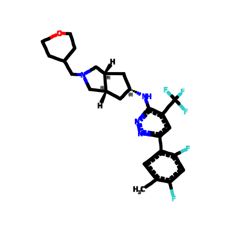 Cc1cc(-c2cc(C(F)(F)F)c(N[C@@H]3C[C@@H]4CN(CC5CCOCC5)C[C@@H]4C3)nn2)c(F)cc1F